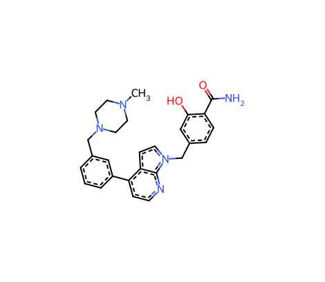 CN1CCN(Cc2cccc(-c3ccnc4c3ccn4Cc3ccc(C(N)=O)c(O)c3)c2)CC1